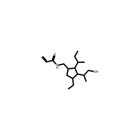 C=CC(=O)NCC1CC(CC)C(C(C)CO)C1C(C)CC